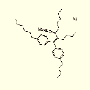 CCCCCCc1ccc(C(=C(CCCC)C(=C=[N+]=[N-])CCCCC)c2ccc(CCCC)cc2)cc1.[Ni]